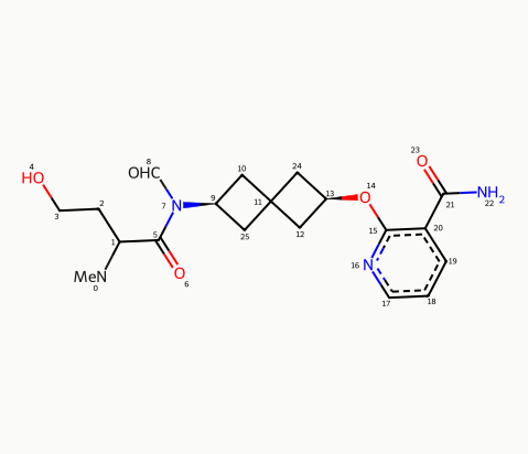 CNC(CCO)C(=O)N(C=O)[C@H]1CC2(C[C@H](Oc3ncccc3C(N)=O)C2)C1